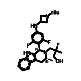 CCCCN1CC(Nc2cc(F)c([C@@H]3c4[nH]c5ccccc5c4C[C@@H](C)N3CC(C)(F)CO)c(F)c2)C1